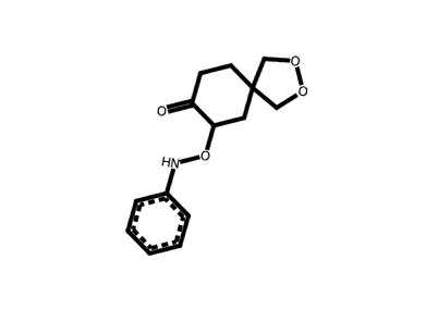 O=C1CCC2(COOC2)CC1ONc1ccccc1